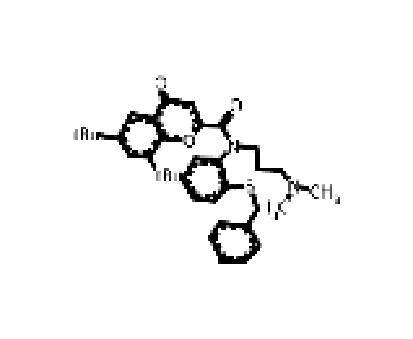 CN(C)CCCN(C(=O)c1cc(=O)c2cc(C(C)(C)C)cc(C(C)(C)C)c2o1)c1ccccc1SCc1ccccc1